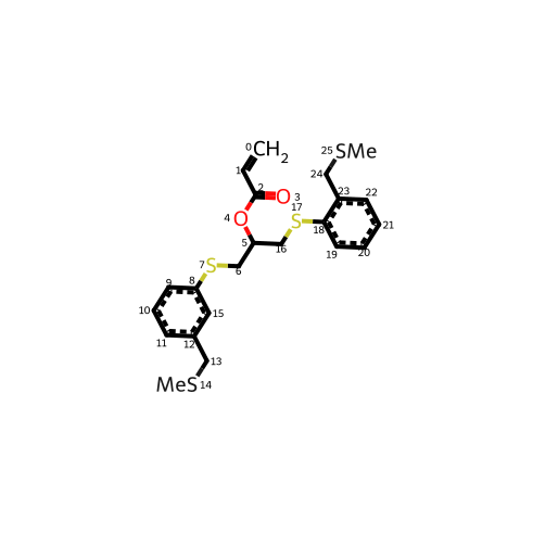 C=CC(=O)OC(CSc1cccc(CSC)c1)CSc1ccccc1CSC